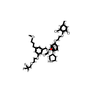 COCCCc1cc(CN(C(=O)[C@H]2CNCC[C@@H]2c2ccc(OCCOc3c(Cl)cc(C)cc3Cl)cc2)C2CC2)cc(OCCOCC(F)(F)F)c1